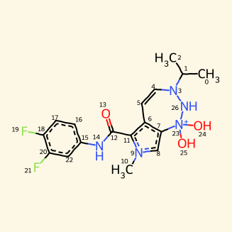 CC(C)N1C=Cc2c(cn(C)c2C(=O)Nc2ccc(F)c(F)c2)[N+](O)(O)N1